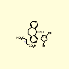 CCN1C[C@H](NC2c3ccccc3CCc3ccccc32)[C@@H](O)C1.O=C(O)/C=C/C(=O)O